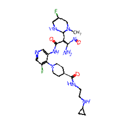 CN1CC(F)CNC1C(C(=O)Nc1cncc(F)c1N1CCC(C(=O)NCCNC2CC2)CC1)C(N)N=O